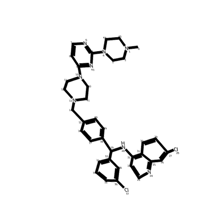 CN1CCN(c2nccc(N3CCN(Cc4ccc(C(Nc5ccnc6cc(Cl)ccc56)c5cccc(Cl)c5)cc4)CC3)n2)CC1